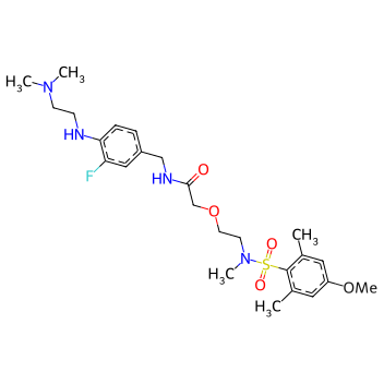 COc1cc(C)c(S(=O)(=O)N(C)CCOCC(=O)NCc2ccc(NCCN(C)C)c(F)c2)c(C)c1